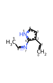 C=Cc1cc[nH]c1/N=C\C